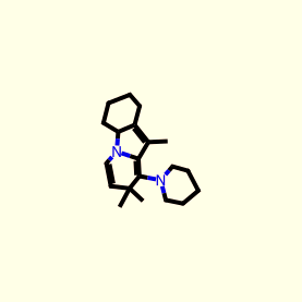 CC1=C2CCCCC2N2C=CC(C)(C)C(N3CCCCC3)=C12